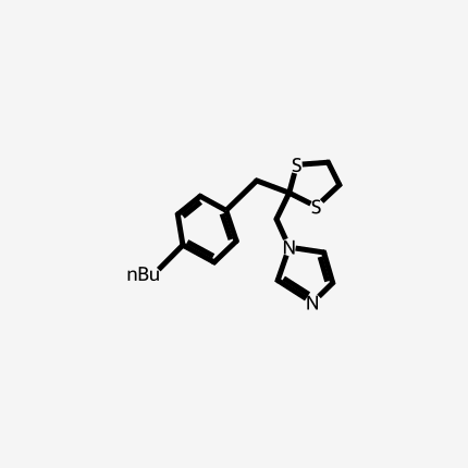 CCCCc1ccc(CC2(Cn3ccnc3)SCCS2)cc1